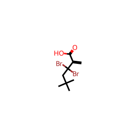 C=C(C(=O)O)C(Br)(Br)CC(C)(C)C